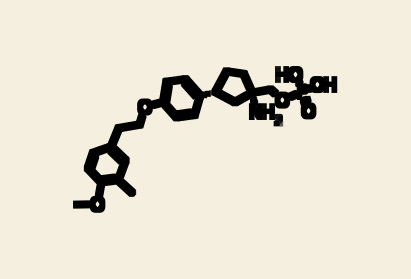 COc1ccc(CCOc2ccc([C@@H]3CC[C@](N)(COP(=O)(O)O)C3)cc2)cc1C